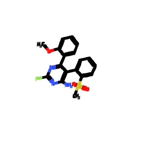 COc1ccccc1-c1nc(F)nc(N)c1-c1ccccc1S(C)(=O)=O